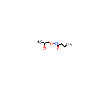 CCCC(=O)NOCC(C)O